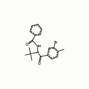 Cc1ccc(C(=O)N(NC(=O)c2ccccc2)C(C)(C)C)cc1Br